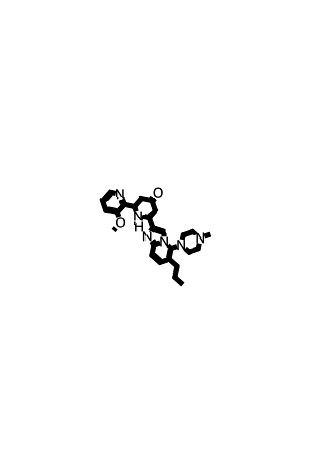 CCCc1ccc2nc(C3CC(=O)CC(c4ncccc4OC)N3)cn2c1N1CCN(C)CC1